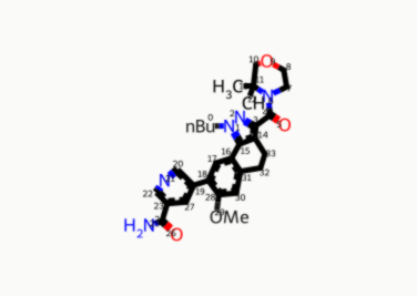 CCCCn1nc(C(=O)N2CCOCC2(C)C)c2c1-c1cc(-c3cncc(C(N)=O)c3)c(OC)cc1CC2